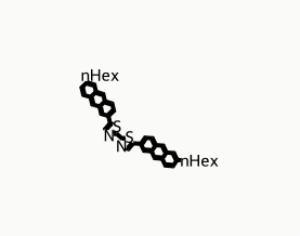 CCCCCCc1ccc2cc3cc(-c4cnc(-c5ncc(-c6ccc7cc8cc(CCCCCC)ccc8cc7c6)s5)s4)ccc3cc2c1